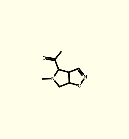 CC(=O)C1C2C=NOC2CN1C